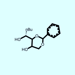 CCCC[C@@H](O)C1OC(c2ccccc2)OCC1O